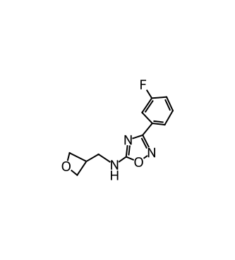 Fc1cccc(-c2noc(NCC3COC3)n2)c1